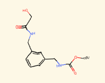 CCCCOC(=O)NCc1cccc(CNC(=O)CO)c1